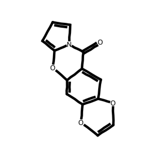 O=c1c2cc3c(cc2oc2cccn12)OC=CO3